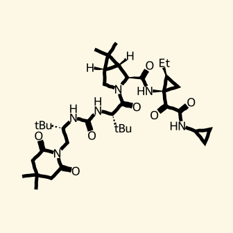 CC[C@H]1C[C@]1(NC(=O)[C@@H]1[C@@H]2[C@H](CN1C(=O)[C@@H](NC(=O)N[C@H](CN1C(=O)CC(C)(C)CC1=O)C(C)(C)C)C(C)(C)C)C2(C)C)C(=O)C(=O)NC1CC1